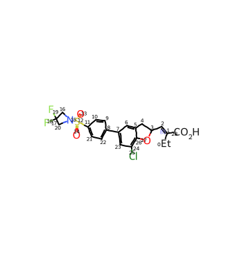 CC/C(=C\C1Cc2cc(-c3ccc(S(=O)(=O)N4CC(F)(F)C4)cc3)cc(Cl)c2O1)C(=O)O